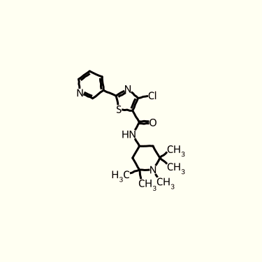 CN1C(C)(C)CC(NC(=O)c2sc(-c3cccnc3)nc2Cl)CC1(C)C